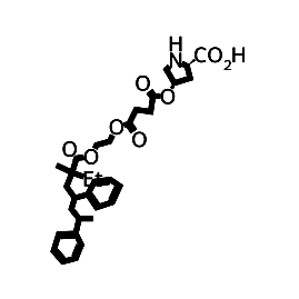 CCC(C)(CC(CC(C)c1ccccc1)c1ccccc1)C(=O)OCCOC(=O)CCC(=O)O[C@H]1CN[C@H](C(=O)O)C1